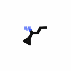 CCCC(N)C1CC1